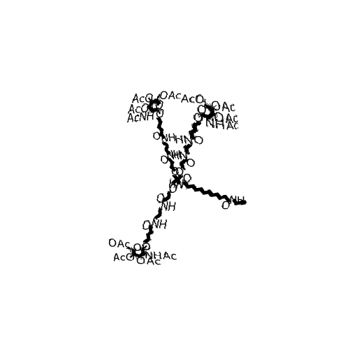 C#CCNC(=O)CCCCCCCCCCC(=O)NC(COCCC(=O)NCCCNC(=O)CCCCO[C@@H]1O[C@H](COC(C)=O)[C@H](OC(C)=O)[C@H](OC(C)=O)[C@H]1NC(C)=O)(COCCC(=O)NCCCNC(=O)CCCCO[C@@H]1O[C@H](COC(C)=O)[C@H](OC(C)=O)[C@H](OC(C)=O)[C@H]1NC(C)=O)COCCC(=O)NCCCNC(=O)CCCCO[C@@H]1O[C@H](COC(C)=O)[C@H](OC(C)=O)[C@H](OC(C)=O)[C@H]1NC(C)=O